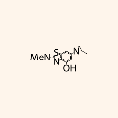 CNc1nc2c(O)cc(N3CC3C)cc2s1